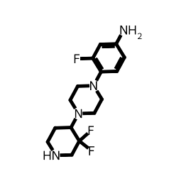 Nc1ccc(N2CCN(C3CCNCC3(F)F)CC2)c(F)c1